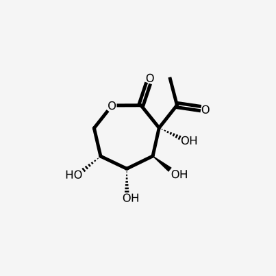 CC(=O)[C@]1(O)C(=O)OC[C@@H](O)[C@@H](O)[C@@H]1O